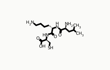 CC(C)C[C@H](N)C(=O)N[C@@H](CCCCN)C(=O)N[C@@H](CS)C(=O)O